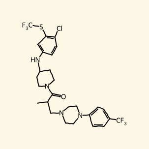 CC(CN1CCN(c2ccc(C(F)(F)F)cc2)CC1)C(=O)N1CCC(Nc2ccc(Cl)c(SC(F)(F)F)c2)CC1